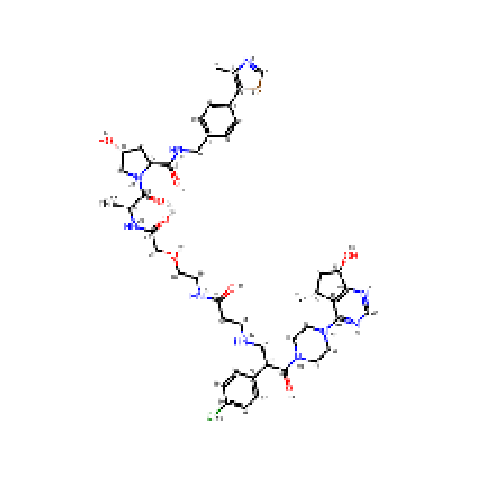 Cc1ncsc1-c1ccc(CNC(=O)[C@@H]2C[C@@H](O)CN2C(=O)[C@@H](NC(=O)COCCNC(=O)CCNC[C@@H](C(=O)N2CCN(c3ncnc4c3[C@H](C)C[C@H]4O)CC2)c2ccc(Cl)cc2)C(C)(C)C)cc1